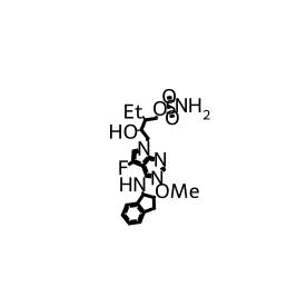 CC[C@@H](COS(N)(=O)=O)[C@@H](O)Cn1cc(F)c2c(N[C@@H]3c4ccccc4C[C@@H]3OC)ncnc21